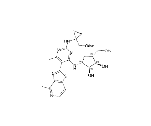 COCC1(Nc2nc(C)c(-c3nc4c(C)nccc4s3)c(N[C@@H]3C[C@H](CO)[C@@H](O)[C@H]3O)n2)CC1